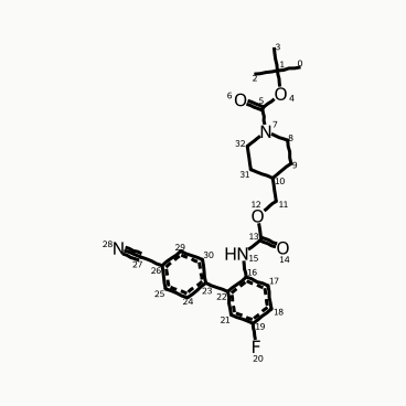 CC(C)(C)OC(=O)N1CCC(COC(=O)Nc2ccc(F)cc2-c2ccc(C#N)cc2)CC1